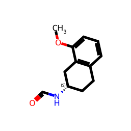 COc1cccc2c1C[C@@H](NC=O)CC2